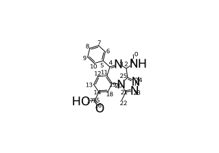 CNC1N=C(c2ccccc2)c2ccc(C(=O)O)cc2-n2c(C)nnc21